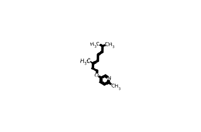 Cc1ccc(OCC[C@@H](C)CCCC(C)C)cn1